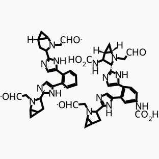 O=[C]CN1C(c2ncc(-c3[c]cccc3-c3cnc(C4C[C@@H]5CC5N4C[C]=O)[nH]3)[nH]2)CC2CC21.O=[C]CN1C(c2ncc(-c3cc(NC(=O)O)ccc3-c3cnc([C@@H]4C(NC(=O)O)[C@@H]5C[C@@H]5N4CC=O)[nH]3)[nH]2)CC2CC21